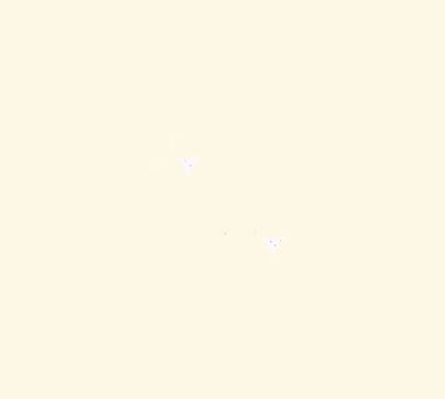 O=C(O)N1CCC(=Cc2cccc([N+](=O)[O-])c2)CC1